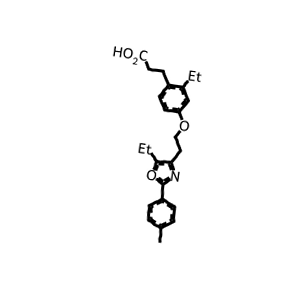 CCc1cc(OCCc2nc(-c3ccc(C)cc3)oc2CC)ccc1CCC(=O)O